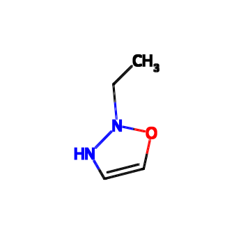 CCN1NC=CO1